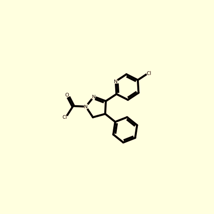 O=C(Cl)N1CC(c2ccccc2)C(c2ccc(Cl)cn2)=N1